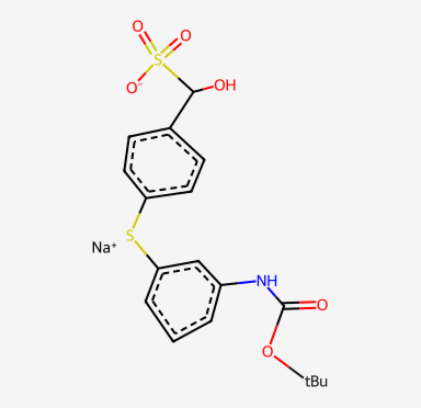 CC(C)(C)OC(=O)Nc1cccc(Sc2ccc(C(O)S(=O)(=O)[O-])cc2)c1.[Na+]